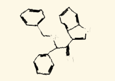 C=C(c1c[nH]c2ccccc12)C(NCc1ccccc1)c1ccccc1